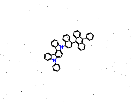 c1ccc(-c2c3ccccc3c(-c3ccc(-n4c5ccccc5c5c6c7ccccc7n(-c7ccccc7)c6ccc54)c4ccccc34)c3ccccc23)cc1